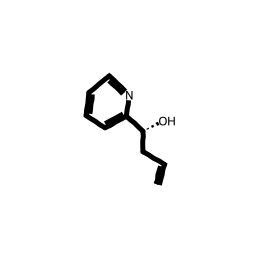 C=CC[C@@H](O)c1ccccn1